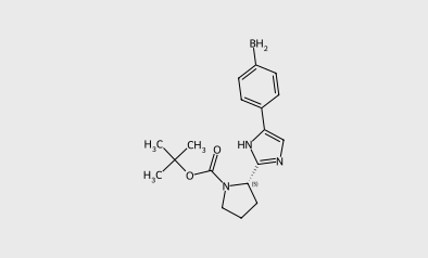 Bc1ccc(-c2cnc([C@@H]3CCCN3C(=O)OC(C)(C)C)[nH]2)cc1